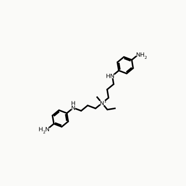 CC[N+](C)(CCCNc1ccc(N)cc1)CCCNc1ccc(N)cc1